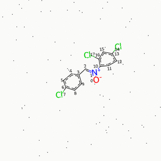 [O-][N+](=Cc1ccc(Cl)cc1)c1ccc(Cl)cc1Cl